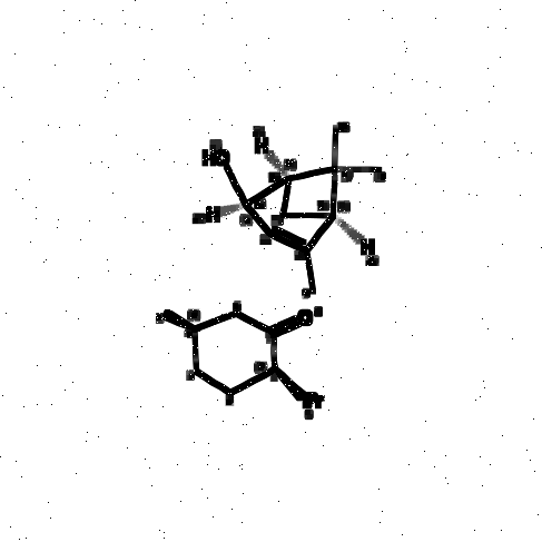 CC(C)[C@H]1CC[C@@H](C)CC1=O.CC1=C[C@@H](O)[C@@H]2C[C@H]1C2(C)C